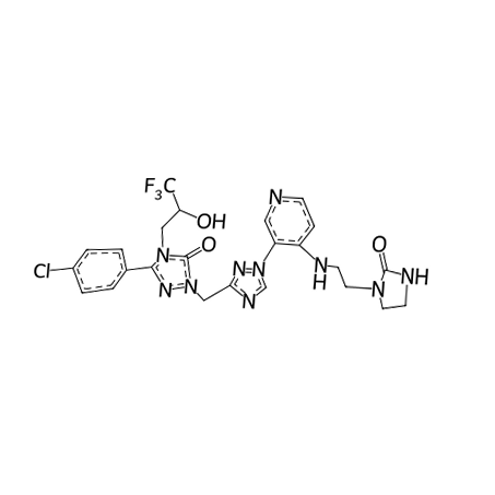 O=C1NCCN1CCNc1ccncc1-n1cnc(Cn2nc(-c3ccc(Cl)cc3)n(CC(O)C(F)(F)F)c2=O)n1